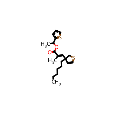 CCCCCCC1(C=C(C)C(=O)OC(C)c2cccs2)C=CSC1